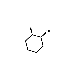 O[C@H]1CCCC[C@H]1I